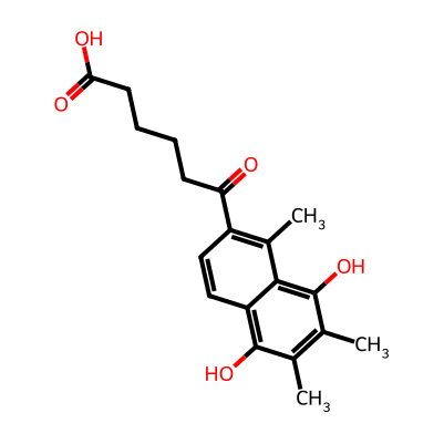 Cc1c(C)c(O)c2c(C)c(C(=O)CCCCC(=O)O)ccc2c1O